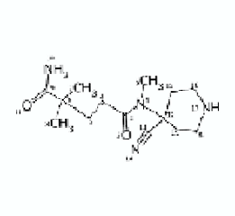 CN(C(=O)[CH]CC(C)(C)C(N)=O)C1(C#N)CCNCC1